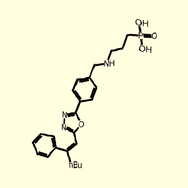 CCCCC(=Cc1nnc(-c2ccc(CNCCCP(=O)(O)O)cc2)o1)c1ccccc1